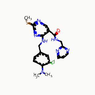 CSc1ncc(C(=O)NCc2ncccn2)c(NCc2ccc(N(C)C)c(Cl)c2)n1